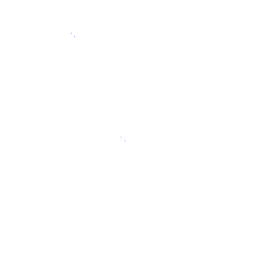 CN(C)CCCOCc1nc2c(o1)-c1ccccc1Oc1ccc(Cl)cc1-2